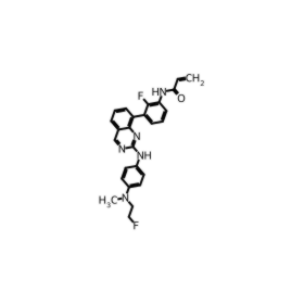 C=CC(=O)Nc1cccc(-c2cccc3cnc(Nc4ccc(N(C)CCF)cc4)nc23)c1F